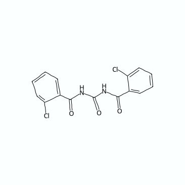 O=C(NC(=O)c1ccccc1Cl)NC(=O)c1ccccc1Cl